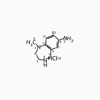 CN1CCNCc2cc(N)ccc21.Cl